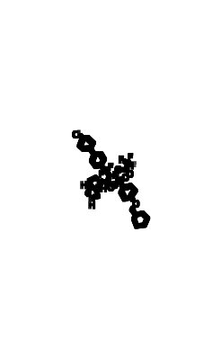 O=C([C@@H](N(OC(=O)C(F)(F)F)S(=O)(=O)c1ccc(OCC2CCCCC2)cc1)C(F)(F)c1ccc(-c2ccc(Cl)cc2)cc1)N1CC[C@@H]2CNC[C@@H]21